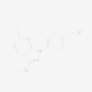 Nc1cn(-c2ccc(C(=O)O)cc2)c2nc(Cl)ccc12